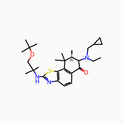 CCN(CC1CC1)C1C(=O)c2ccc3nc(NC(C)(C)COC(C)(C)C)sc3c2C(C)(C)[C@H]1C